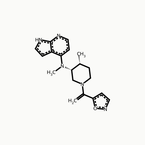 C=C(c1ccno1)N1CC[C@@H](C)[C@@H](N(C)c2ccnc3[nH]ccc23)C1